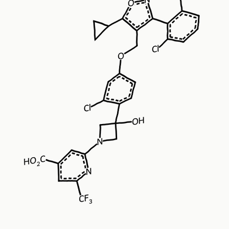 O=C(O)c1cc(N2CC(O)(c3ccc(OCc4c(-c5c(Cl)cccc5Cl)noc4C4CC4)cc3Cl)C2)nc(C(F)(F)F)c1